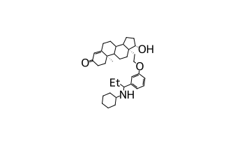 CCC(NC1CCCCC1)c1cccc(OCC[C@]23CCC4C(CCC5=CC(=O)CC[C@@]54C)C2CC[C@@H]3O)c1